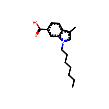 CCCCCCCn1cc(C)c2ccc(C(=O)O)cc21